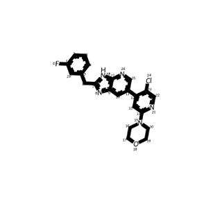 Fc1cccc(Cc2nc3cc(-c4cc(N5CCOCC5)ncc4Cl)cnc3[nH]2)c1